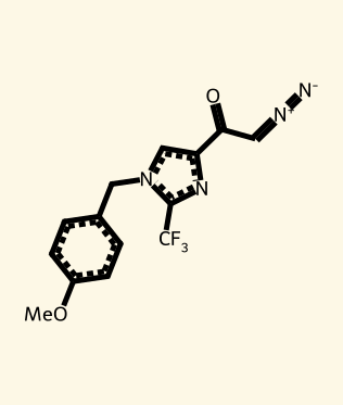 COc1ccc(Cn2cc(C(=O)C=[N+]=[N-])nc2C(F)(F)F)cc1